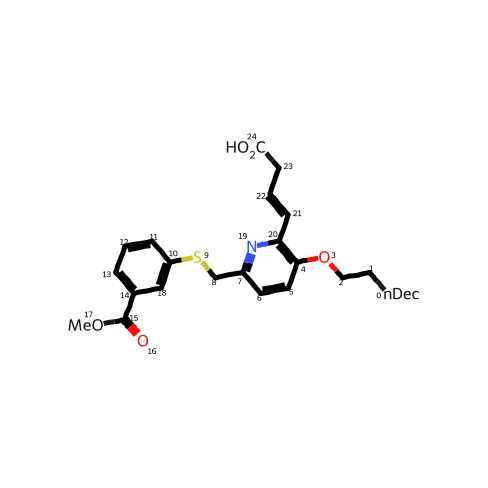 CCCCCCCCCCCCOc1ccc(CSc2cccc(C(=O)OC)c2)nc1C=CCC(=O)O